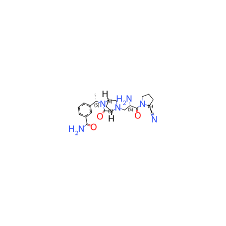 C[C@@H](c1cccc(C(N)=O)c1)N1C(=O)[C@@H]2C[C@H]1CN2C[C@H](N)C(=O)N1CCC[C@H]1C#N